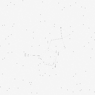 Brc1cnn2c1CC1(CC1)C2